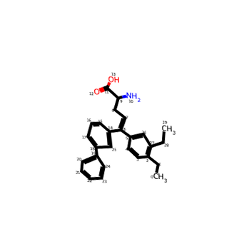 CCc1ccc(C(=CCC(N)C(=O)O)c2cccc(-c3ccccc3)c2)cc1CC